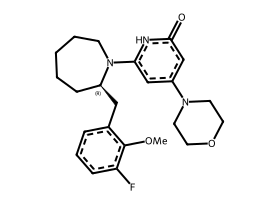 COc1c(F)cccc1C[C@H]1CCCCCN1c1cc(N2CCOCC2)cc(=O)[nH]1